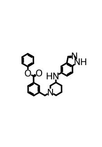 O=C(Oc1ccccc1)c1cccc(CN2CCCC(Nc3ccc4[nH]ncc4c3)C2)c1